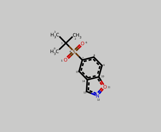 CC(C)(C)S(=O)(=O)c1ccc2oncc2c1